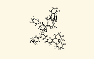 c1ccc(-c2nc(-c3cc(-c4ccncc4)cc(-c4ccc5c6ccccc6c6ccccc6c5c4)c3)nc(-c3ccc4oc5ccccc5c4c3)n2)cc1